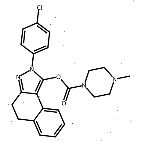 CN1CCN(C(=O)Oc2c3c(nn2-c2ccc(Cl)cc2)CCc2ccccc2-3)CC1